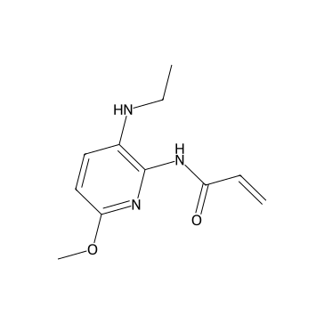 C=CC(=O)Nc1nc(OC)ccc1NCC